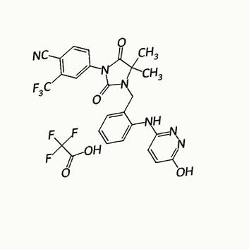 CC1(C)C(=O)N(c2ccc(C#N)c(C(F)(F)F)c2)C(=O)N1Cc1ccccc1Nc1ccc(O)nn1.O=C(O)C(F)(F)F